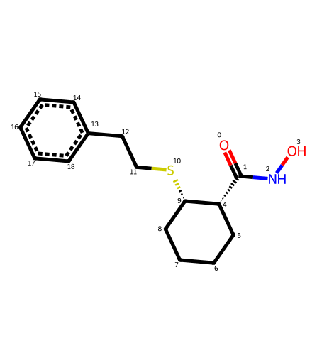 O=C(NO)[C@@H]1CCCC[C@@H]1SCCc1ccccc1